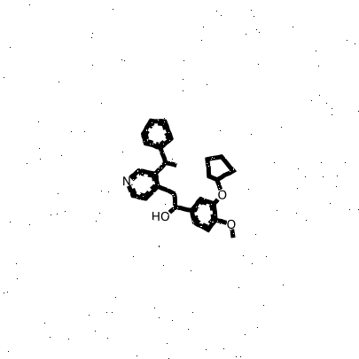 COc1ccc(C(O)Cc2ccncc2C(C)c2ccccc2)cc1OC1CCCC1